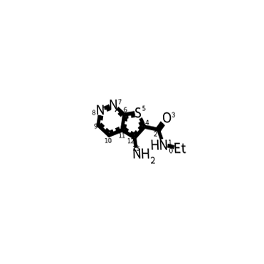 CCNC(=O)c1sc2nnccc2c1N